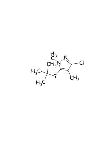 Cc1c(Cl)nn(C)c1SC(C)(C)C